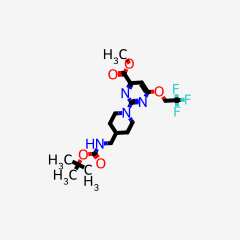 COC(=O)c1cc(OCC(F)(F)F)nc(N2CCC(CNC(=O)OC(C)(C)C)CC2)n1